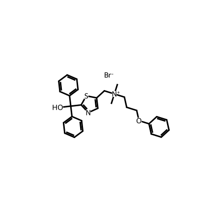 C[N+](C)(CCCOc1ccccc1)Cc1cnc(C(O)(c2ccccc2)c2ccccc2)s1.[Br-]